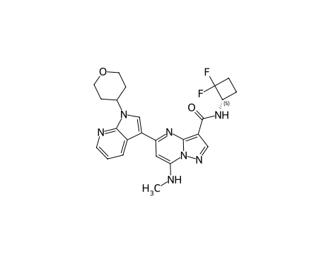 CNc1cc(-c2cn(C3CCOCC3)c3ncccc23)nc2c(C(=O)N[C@H]3CCC3(F)F)cnn12